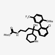 COC(=O)NCCCC(O)(c1cccc(Cl)c1-c1cc(C(F)(F)F)ccc1OC)C1CCCNC1